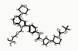 CC(C)(C)OC(=O)N1CCCC(N2CC[C@@H](C(=O)Nc3ccc(-c4cc5c(N6CCOCC6)ncnc5n4COCC[Si](C)(C)C)cc3)C2)C1